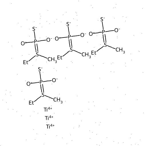 CCS(C)=P([O-])([O-])[S-].CCS(C)=P([O-])([O-])[S-].CCS(C)=P([O-])([O-])[S-].CCS(C)=P([O-])([O-])[S-].[Ti+4].[Ti+4].[Ti+4]